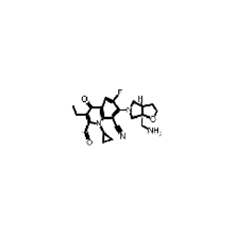 CCc1c([C]=O)n(C2CC2)c2c(C#N)c(N3C[C@@H]4CCO[C@]4(CN)C3)c(F)cc2c1=O